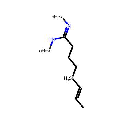 CC=C[SiH2]CCCC(=NCCCCCC)NCCCCCC